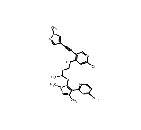 Cc1nn(C)c(O[C@@H](C)CCNc2cc(Cl)ncc2C#Cc2cnn(C)c2)c1-c1nccc(N)n1